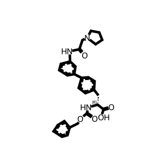 O=C(CN1CCCC1)Nc1cccc(-c2ccc(C[C@@H](NC(=O)OCc3ccccc3)C(=O)O)cc2)c1